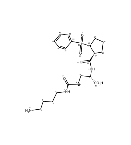 NCCCCNC(=O)NC[C@H](NC(=O)[C@@H]1CCCN1S(=O)(=O)c1ccccc1)C(=O)O